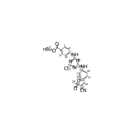 CCCCOC(=O)c1ccc(Nc2nc(Cl)nc(Nc3ccc(C=C(C#N)S(C)(=O)=O)cc3)n2)cc1